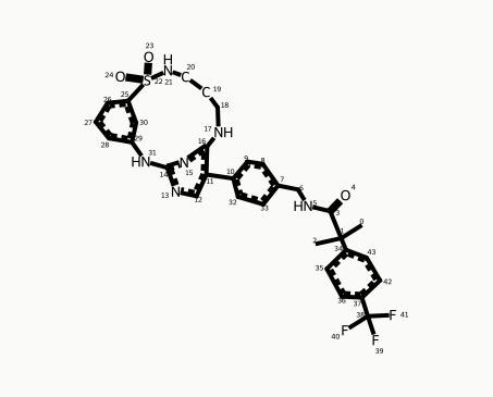 CC(C)(C(=O)NCc1ccc(-c2cnc3nc2NCCCNS(=O)(=O)c2cccc(c2)N3)cc1)c1ccc(C(F)(F)F)cc1